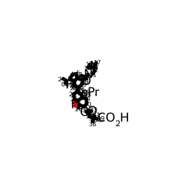 C=C(C)[C@@H]1CC[C@]2(CC(=O)N3CC4CC3CN4C)CC[C@@](C)([C@]3(C)CC[C@H]4C(C)(C)[C@@H](OC(=O)CC(C)(C)CC(=O)O)CC[C@]4(C)[C@H]3CCC)C[C@@H]12